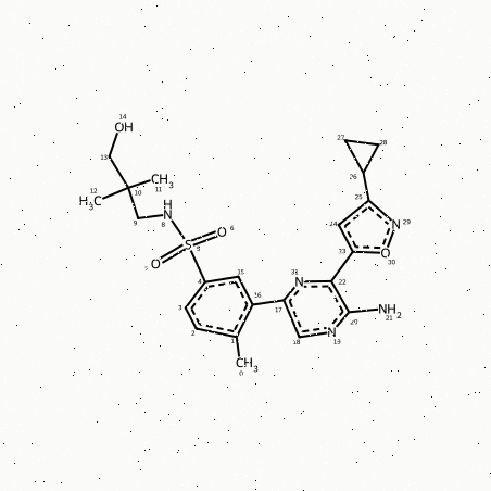 Cc1ccc(S(=O)(=O)NCC(C)(C)CO)cc1-c1cnc(N)c(-c2cc(C3CC3)no2)n1